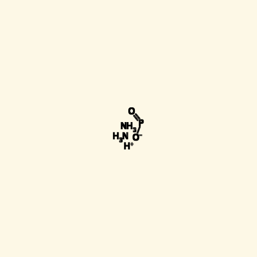 N.N.O=P[O-].[H+]